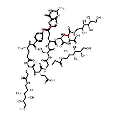 C[C@H](CCC(=O)N[C@@H](CCC(=O)NC[C@H](O)[C@@H](O)[C@H](O)[C@H](O)CO)C(=O)N[C@@H](CCC(=O)O)C(=O)N[C@@H](CCC(=O)NC[C@H](O)[C@@H](O)[C@H](O)[C@H](O)CO)C(=O)N[C@@H](CS)C(=O)N[C@@H](CCC(=O)O)C(=O)N[C@@H](CCC(=O)NC[C@H](O)[C@@H](O)[C@H](O)[C@H](O)CO)C(=O)N[C@@H](CS)C(=O)O)NC(=O)c1ccc(NCc2cnc3nc(N)[nH]c(=O)c3n2)cc1